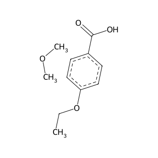 CCOc1ccc(C(=O)O)cc1.COC